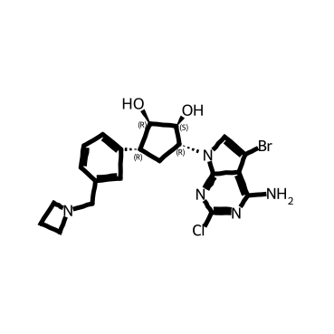 Nc1nc(Cl)nc2c1c(Br)cn2[C@@H]1C[C@H](c2cccc(CN3CCC3)c2)[C@@H](O)[C@H]1O